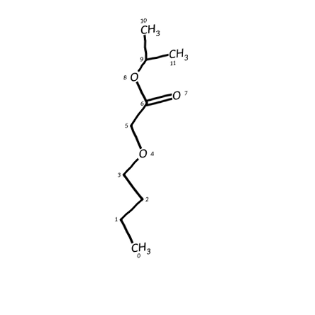 CCCCOCC(=O)OC(C)C